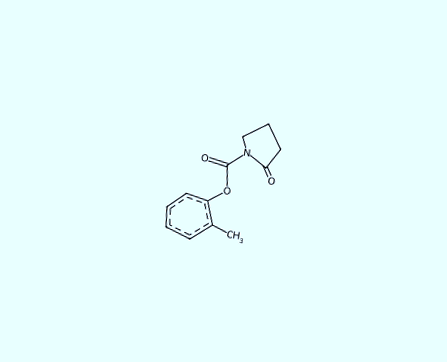 Cc1ccccc1OC(=O)N1CCCC1=O